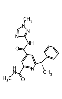 CNC(=O)c1cc(C(=O)Nc2ncn(C)n2)cc([C@@H](C)c2ccccc2)n1